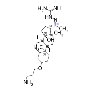 C/C(=N/NC(=N)N)[C@H]1CC[C@@]2(O)[C@@H]3CCC4CC(OCCCN)CC[C@]4(C)[C@H]3CC[C@]12C